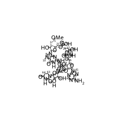 COCC[C@H]1[C@@H](O)[C@H](n2c[n+](C)c3c(=O)[nH]c(N)nc32)O[C@@H]1COP(=O)(O)CCP(=O)(O)OP(=O)(O)OC[C@H]1O[C@@H](n2cnc3c(N)ncnc32)[C@H](OC)[C@@H]1OP(=O)([O-])O/C=C1\O[C@@H](n2ccc(=O)[nH]c2=O)[C@H](O)[C@@H]1O